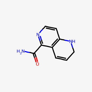 NC(=O)c1nccc2c1C=CCN2